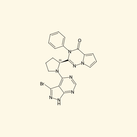 O=c1c2cccn2nc([C@@H]2CCCN2c2ncnc3[nH]nc(Br)c23)n1-c1ccccc1